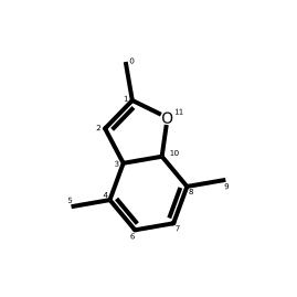 CC1=CC2C(C)=CC=C(C)C2O1